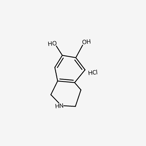 Cl.Oc1cc2c(cc1O)CNCC2